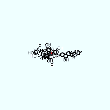 CC1CC[C@@]2(OC1)O[C@H]1CC3C4C[C@@H](O)C5C[C@@H](O[C@@H]6O[C@H](CO)[C@H](O[C@@H]7O[C@H](CO)[C@@H](O)[C@H](O[C@@H]8O[C@H](C)[C@@H](O[C@@H]9O[C@H](CO)[C@@H](C)[C@H](O)[C@H]9O)[C@H](O)[C@H]8O)[C@H]7O[C@@H]7O[C@H](CO)[C@@H](O)[C@H](O)[C@H]7O)[C@H](O)[C@H]6O)CC[C@]5(C)C4CC[C@]3(C)[C@H]1[C@@H]2C